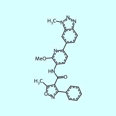 COc1nc(-c2ccc3nnn(C)c3c2)ccc1NC(=O)c1c(-c2ccccc2)noc1C